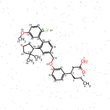 CCC[C@H](CC(=O)O)c1cccc(OCc2ccc(-c3cc(OC)ccc3F)c([C@@H]3CCCC3(C)C)c2)c1